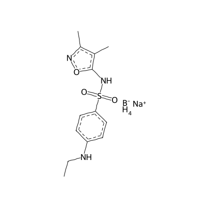 CCNc1ccc(S(=O)(=O)Nc2onc(C)c2C)cc1.[BH4-].[Na+]